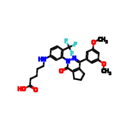 COc1cc(OC)cc(-c2nn(-c3cc(NCCCCC(=O)O)ccc3C(F)(F)F)c(=O)c3c2CCC3)c1